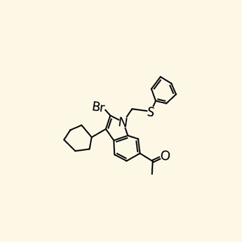 CC(=O)c1ccc2c(C3CCCCC3)c(Br)n(CSc3ccccc3)c2c1